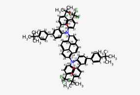 CC(C)(C)c1ccc(-c2ccc(N(C3=C4C=CC5=C6C(=CC=C(C=C3)C46)C(N(c3ccc(C(F)(F)F)cc3)c3ccc(-c4ccc(C(C)(C)C)cc4)cc3-c3ccc(C(C)(C)C)cc3)C=C5)c3ccc(C(F)(F)F)cc3)c(-c3ccc(C(C)(C)C)cc3)c2)cc1